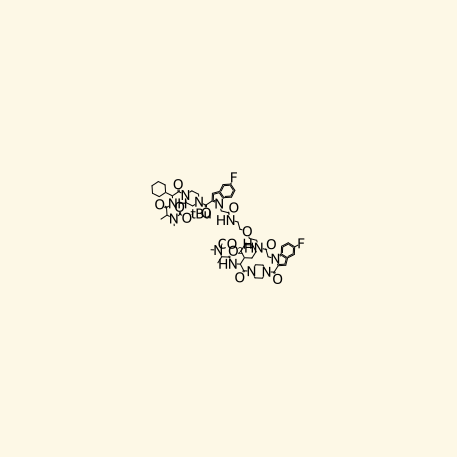 CC(C(=O)NC(C(=O)N1CCN(C(=O)c2cc3cc(F)ccc3n2CC(=O)NCCOCCNC(=O)Cn2c(C(=O)N3CCN(C(=O)C(NC(=O)C(C)N(C)C(=O)OC(C)(C)C)C4CCCCC4)CC3)cc3cc(F)ccc32)CC1)C1CCCCC1)N(C)C(=O)O